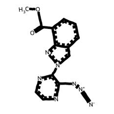 COC(=O)c1cccc2cn(-c3nccnc3N=[N+]=[N-])nc12